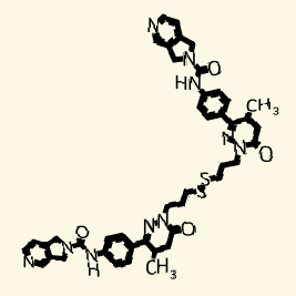 CC1CC(=O)N(CCCSSCCCN2N=C(c3ccc(NC(=O)N4Cc5ccncc5C4)cc3)C(C)CC2=O)N=C1c1ccc(NC(=O)N2Cc3ccncc3C2)cc1